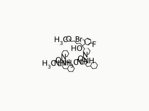 CNC[C@H](CC1CCCCC1)NC(=O)N1CCCCC1.CNC[C@H](CC1CCCCC1)NC(=O)N1CCC[C@@H]([C@@](O)(CCCCOC)c2cc(F)ccc2Br)C1